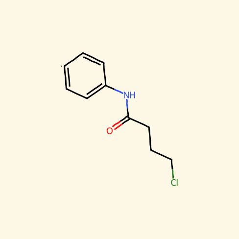 O=C(CCCCl)Nc1cc[c]cc1